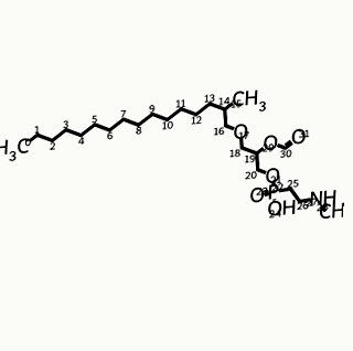 CCCCCCCCCCCCCCC(C)COCC(COP(=O)(O)CCNC)OC=O